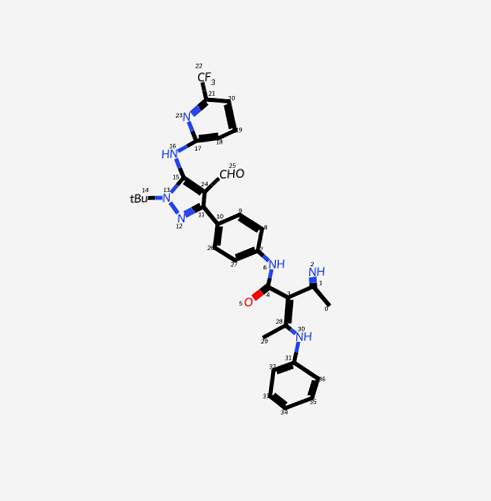 CC(=N)/C(C(=O)Nc1ccc(-c2nn(C(C)(C)C)c(Nc3cccc(C(F)(F)F)n3)c2C=O)cc1)=C(/C)Nc1ccccc1